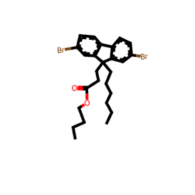 CCCCCCC1(CCC(=O)OCCCC)c2cc(Br)ccc2-c2ccc(Br)cc21